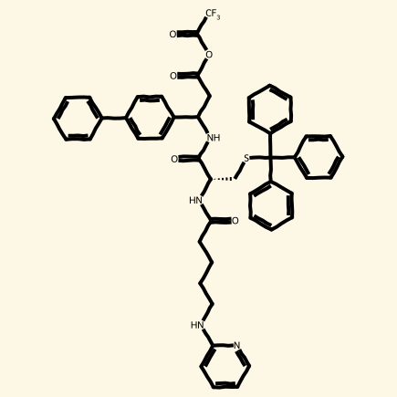 O=C(CCCCNc1ccccn1)N[C@@H](CSC(c1ccccc1)(c1ccccc1)c1ccccc1)C(=O)NC(CC(=O)OC(=O)C(F)(F)F)c1ccc(-c2ccccc2)cc1